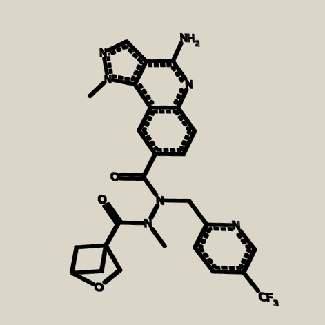 CN(C(=O)C12COC(C1)C2)N(Cc1ccc(C(F)(F)F)cn1)C(=O)c1ccc2nc(N)c3cnn(C)c3c2c1